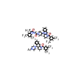 CC(=O)N1CCN(CC2CCCN(C(=O)c3cc(C(F)(F)F)cc(C(F)(F)F)c3)C2Cc2ccccc2)CC1.CC(C(=O)NCC(=O)N1CCC(NC2CCCN(C(=O)c3cc(C(F)(F)F)cc(C(F)(F)F)c3)C2Cc2ccccc2)CC1)c1cc(C(F)(F)F)cc(C(F)(F)F)c1